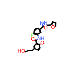 COc1ccc(CCCO)cc1C(=O)Nc1cc(-c2nnc(-c3ccco3)o2)ccc1F